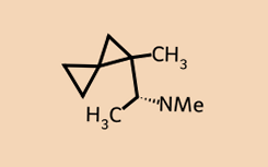 CN[C@H](C)C1(C)CC12CC2